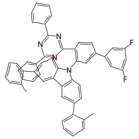 Cc1ccccc1-c1ccc2c(c1)c1cc(-c3ccccc3C)ccc1n2-c1cc(-c2cc(F)cc(F)c2)ccc1-c1nc(-c2ccccc2)nc(-c2ccccc2)n1